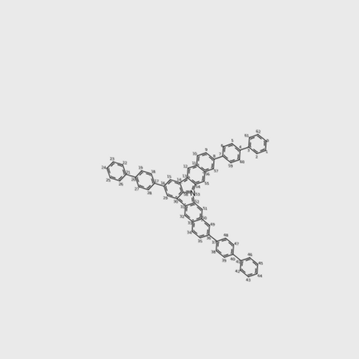 c1ccc(-c2ccc(-c3ccc4cc5c6cc(-c7ccc(-c8ccccc8)cc7)cc7c8cc9ccc(-c%10ccc(-c%11ccccc%11)cc%10)cc9cc8n(c5cc4c3)c67)cc2)cc1